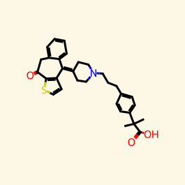 CC(C)(C(=O)O)c1ccc(CCCN2CCC(=C3c4ccccc4CC(=O)c4sccc43)CC2)cc1